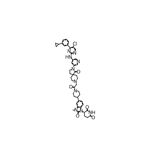 Cn1c(=O)n(C2CCC(=O)NC2=O)c2ccc(C3CCN(C(=O)CN4CCC5(CC4)CCN(c4cncc(Nc6ncc(Cl)c(-c7cccc(C8CC8)c7)n6)c4)C5=O)CC3)cc21